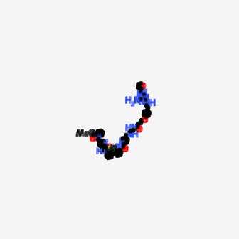 COC(=O)[C@@H]1CCCCN1Cc1ccc(C(=O)Nc2cccc(-c3cccc(NC(=O)c4ccc(CNCCNC(=O)CCCOc5ccc(CCNc6nc(N)n7nc(-c8ccco8)nc7n6)cc5)cn4)c3C)c2Cl)nc1